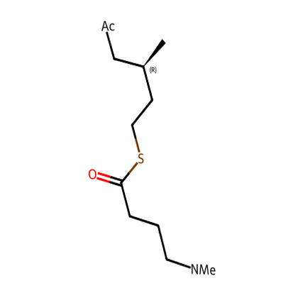 CNCCCC(=O)SCC[C@H](C)CC(C)=O